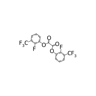 O=C(Oc1cccc(C(F)(F)F)c1F)C(=O)Oc1cccc(C(F)(F)F)c1F